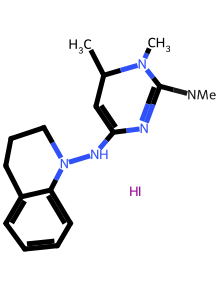 CNC1=NC(NN2CCCc3ccccc32)=CC(C)N1C.I